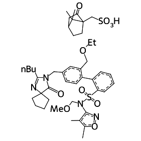 CC1(C)C2CCC1(CS(=O)(=O)O)C(=O)C2.CCCCC1=NC2(CCCC2)C(=O)N1Cc1ccc(-c2ccccc2S(=O)(=O)N(COC)c2noc(C)c2C)c(COCC)c1